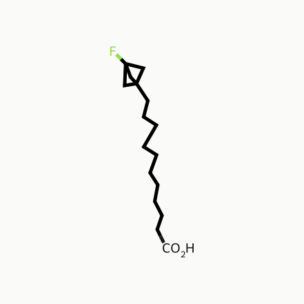 O=C(O)CCCCCCCCCCC12CC(F)(C1)C2